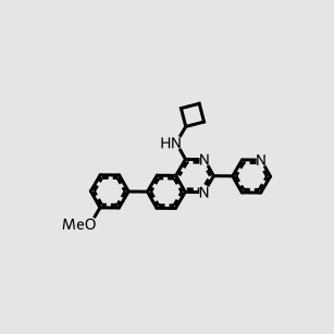 COc1cccc(-c2ccc3nc(-c4cccnc4)nc(NC4CCC4)c3c2)c1